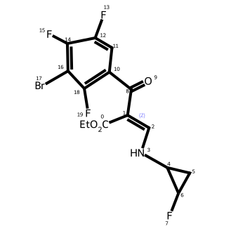 CCOC(=O)/C(=C\NC1CC1F)C(=O)c1cc(F)c(F)c(Br)c1F